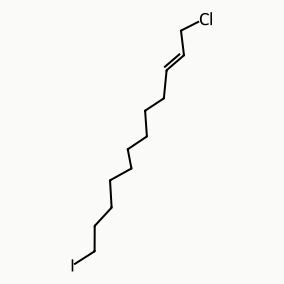 ClCC=CCCCCCCCCCI